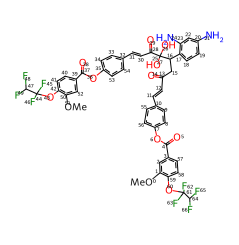 COc1cc(C(=O)Oc2ccc(C=CC(=O)CC(c3ccc(N)cc3N)C(O)(O)C(=O)C=Cc3ccc(OC(=O)c4ccc(OC(F)(F)C(F)F)c(OC)c4)cc3)cc2)ccc1OC(F)(F)C(F)F